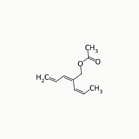 C=C/C=C(\C=C/C)COC(C)=O